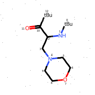 CC(C)(C)NC(CN1CCOCC1)C(=O)C(C)(C)C